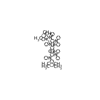 CC1(C)CCC(C)(C)c2cc(N(c3ccccc3)c3cc4c5c(c3)N(c3ccccc3)c3ccccc3B5c3cc5c(cc3O4)N(c3ccccc3)c3cc(N(c4ccccc4)c4ccc6c(c4)C(C)(C)CCC6(C)C)cc4c3B5c3ccccc3N4c3ccccc3)ccc21